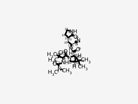 CN(C)C(=O)N[C@H](C(=O)N1C[C@H]2[C@@H]([C@H]1C(=O)N[C@H](C#N)C[C@@H]1CCNC1=O)C2(C)C)C(C)(C)C